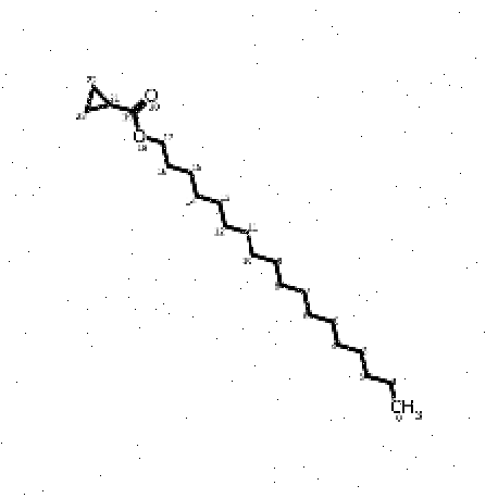 CCCCCCCCCCCCCCCCCCOC(=O)C1CC1